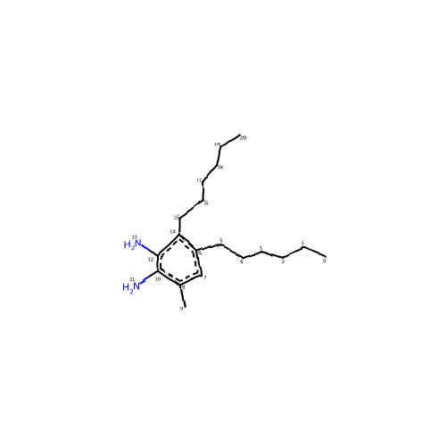 CCCCCCc1cc(C)c(N)c(N)c1CCCCCC